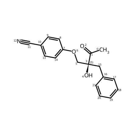 CC(=O)[C@@](O)(COc1ccc(C#N)cc1)Cc1ccccc1